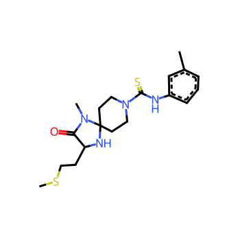 CSCCC1NC2(CCN(C(=S)Nc3cccc(C)c3)CC2)N(C)C1=O